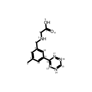 Cc1cc(CNCC(=O)O)cc(-c2nncnn2)c1